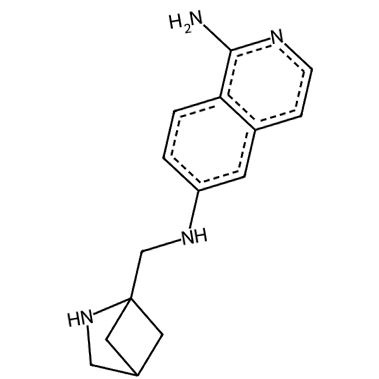 Nc1nccc2cc(NCC34CC(CN3)C4)ccc12